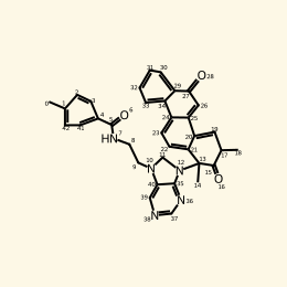 Cc1ccc(C(=O)NCCN2CN(C3(C)C(=O)C(C)C=c4c3ccc3c4=CC(=O)c4ccccc4-3)c3ncncc32)cc1